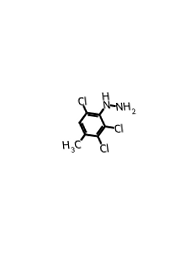 Cc1cc(Cl)c(NN)c(Cl)c1Cl